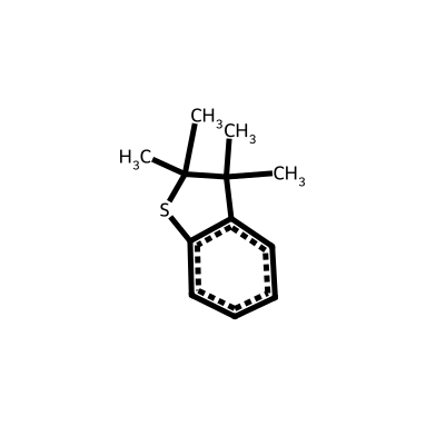 CC1(C)Sc2ccccc2C1(C)C